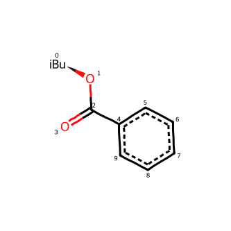 C[CH][C@H](C)OC(=O)c1ccccc1